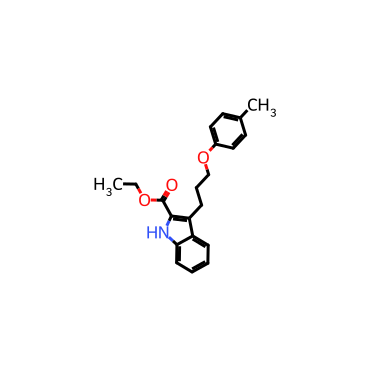 CCOC(=O)c1[nH]c2ccccc2c1CCCOc1ccc(C)cc1